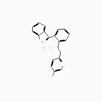 N[C@@H](Cc1ccc(Br)cn1)c1ccccc1-c1noc2ccccc12